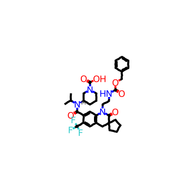 CC(C)N(C(=O)c1cc2c(cc1C(F)(F)F)CC1(CCCC1)C(=O)N2CCNC(=O)OCc1ccccc1)[C@@H]1CCCN(C(=O)O)C1